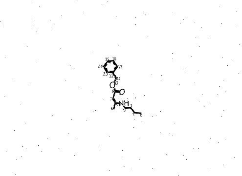 CCCCNC(C)=CC(=O)OCc1ccccc1